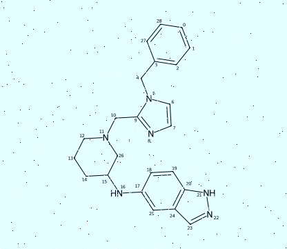 c1ccc(Cn2ccnc2CN2CCCC(Nc3ccc4[nH]ncc4c3)C2)cc1